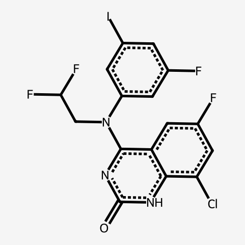 O=c1nc(N(CC(F)F)c2cc(F)cc(I)c2)c2cc(F)cc(Cl)c2[nH]1